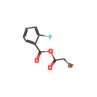 O=C(CBr)OC(=O)c1ccccc1F